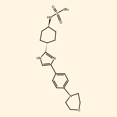 CC(C)(C)S(=O)(=O)N[C@H]1CC[C@H](c2nc(-c3ccc(N4CCOCC4)cc3)c[nH]2)CC1